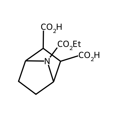 CCOC(=O)N1C2CCC1C(C(=O)O)C2C(=O)O